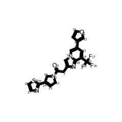 O=C(Cc1cn2cc(-c3ccoc3)cc(C(F)(F)F)c2n1)N1CC=C(c2nccs2)C1